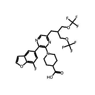 O=C(O)C1CCN(c2nc(CC(COC(F)(F)F)COC(F)(F)F)cnc2-c2cc(F)c3occc3c2)CC1